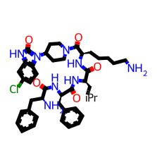 CC(C)C[C@@H](NC(=O)[C@@H](Cc1ccccc1)NC(=O)[C@H](N)Cc1ccccc1)C(=O)N[C@H](CCCCCN)C(=O)N1CCC(n2c(=O)[nH]c3cc(Cl)ccc32)CC1